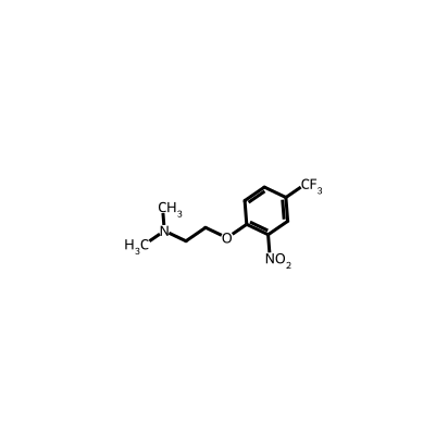 CN(C)CCOc1ccc(C(F)(F)F)cc1[N+](=O)[O-]